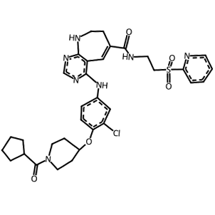 O=C(NCCS(=O)(=O)c1ccccn1)C1=Cc2c(ncnc2Nc2ccc(OC3CCN(C(=O)C4CCCC4)CC3)c(Cl)c2)NCC1